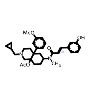 COc1cccc(C23CCN(CC4CC4)CC2(OC(C)=O)CCC(N(C)C(=O)/C=C/c2cccc(O)c2)C3)c1